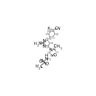 C[C@@H]1CO[C@H](CNS(C)(=O)=O)CN1c1cc(-c2ccc(C#N)c(F)c2)nc(N)n1